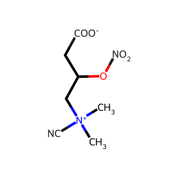 C[N+](C)(C#N)CC(CC(=O)[O-])O[N+](=O)[O-]